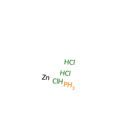 Cl.Cl.Cl.P.[Zn]